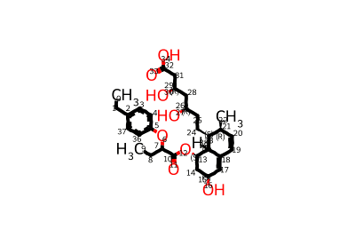 CCc1ccc(OC(CC)C(=O)O[C@H]2C[C@H](O)C=C3C=C[C@H](C)[C@H](CC[C@@H](O)C[C@@H](O)CC(=O)O)[C@H]32)cc1